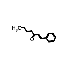 CCCCC(=O)/C=C/c1ccccc1